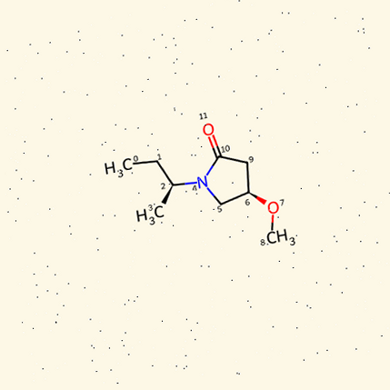 CC[C@H](C)N1C[C@H](OC)CC1=O